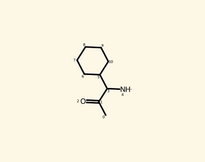 CC(=O)C([NH])C1CCCCC1